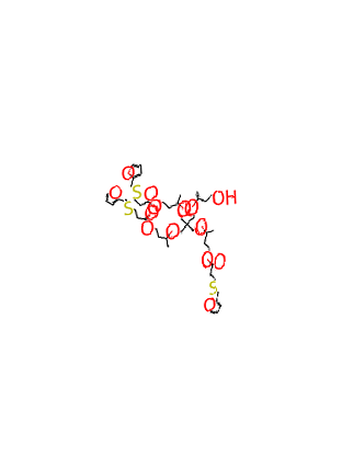 CC(CCO)OCC(COC(C)CCOC(=O)CCSCc1ccco1)(COC(C)CCOC(=O)CCSCc1ccco1)COC(C)CCOC(=O)CCSCc1ccco1